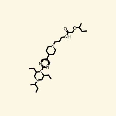 CCC(C)OCC(=O)NCCCN1CCC(c2cnc(N3C(CC)CN(C(C)CC)CC3CC)nc2)CC1